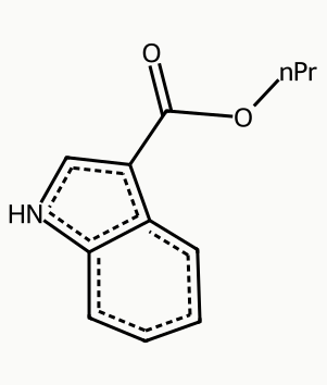 CCCOC(=O)c1c[nH]c2ccccc12